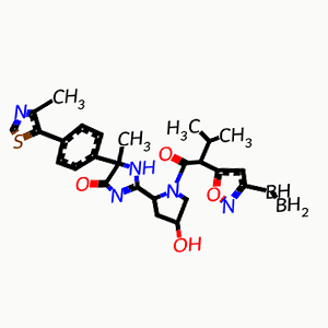 BBc1cc(C(C(=O)N2CC(O)CC2C2=NC(=O)C(C)(c3ccc(-c4scnc4C)cc3)N2)C(C)C)on1